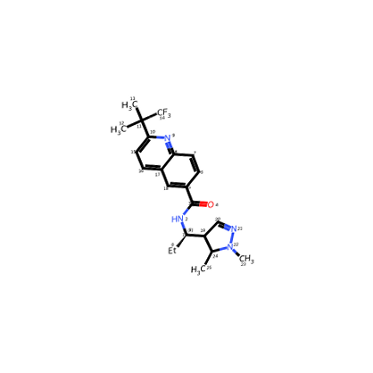 CC[C@@H](NC(=O)c1ccc2nc(C(C)(C)C(F)(F)F)ccc2c1)C1C=NN(C)C1C